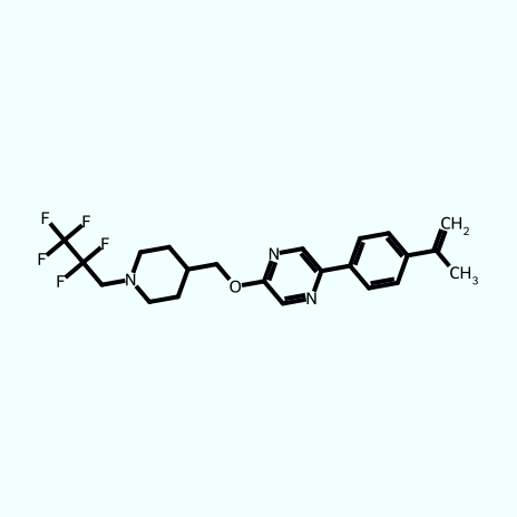 C=C(C)c1ccc(-c2cnc(OCC3CCN(CC(F)(F)C(F)(F)F)CC3)cn2)cc1